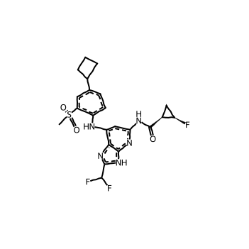 CS(=O)(=O)c1cc(C2CCC2)ccc1Nc1cc(NC(=O)[C@H]2C[C@H]2F)nc2[nH]c(C(F)F)nc12